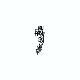 C[C@@H](CO[C@H]1CCN(C2CCN(c3ncc(C(F)(F)F)cn3)CC2)C1=O)Nc1cnncc1C(F)(F)F